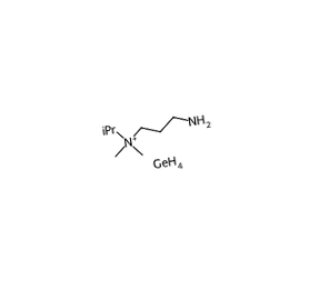 CC(C)[N+](C)(C)CCCN.[GeH4]